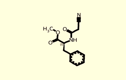 COC(=O)[C@H](Cc1ccccc1)NC(=O)CC#N